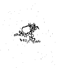 CC[C@@H]1C[C@H](C)CCC=C[C@@H]2C[C@@]2(C(=O)NS(=O)(=O)C2CC2)NC(=O)[C@@H]2C[C@@H](Oc3ncc(C(=O)O)c4cc(OC)ccc34)CN2C(=O)[C@H]1NC(=O)OC(C)(C)C